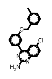 Cc1cccc(COc2cccc(-c3nc(N)nc4ccc(Cl)cc34)c2)c1